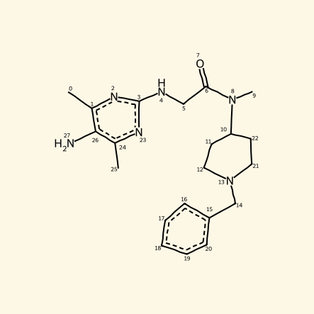 Cc1nc(NCC(=O)N(C)C2CCN(Cc3ccccc3)CC2)nc(C)c1N